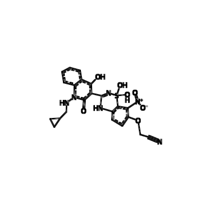 N#CCOc1ccc2c(c1[N+](=O)[O-])S(O)(O)N=C(c1c(O)c3ccccc3n(NCC3CC3)c1=O)N2